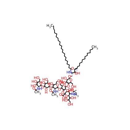 CCCCCCCCCCCCC/C=C/[C@@H](O)[C@H](CO[C@@H]1OC(CO)[C@@H](O[C@@H]2OC(CO)[C@H](O[C@@H]3OC(CO)[C@H](O)[C@H](O[C@@H]4OC(CO)[C@H](O)[C@H](O[C@@H]5OC(CO)[C@H](O)[C@H](O)C5NC(C)=O)C4O)C3NC(C)=O)[C@H](O[C@]3(C(=O)O)CC(O)[C@@H](NC(C)=O)C([C@H](O)[C@H](O)CO)O3)C2O)[C@H](O)C1O)NC(=O)CCCCCCCCCCCCCCCCCCCCCCC